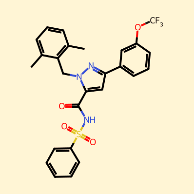 Cc1cccc(C)c1Cn1nc(-c2cccc(OC(F)(F)F)c2)cc1C(=O)NS(=O)(=O)c1ccccc1